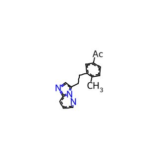 CC(=O)c1ccc(C)c(CCc2cnc3cccnn23)c1